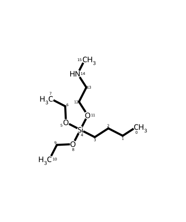 CCCC[Si](OCC)(OCC)OCCNC